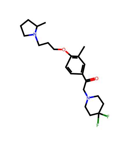 Cc1cc(C(=O)CN2CCC(F)(F)CC2)ccc1OCCCN1CCCC1C